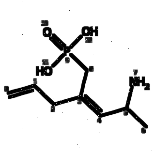 C=CCC(=CC(C)N)CP(=O)(O)O